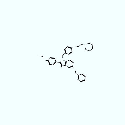 CCOc1ccc(-c2c(C)c3cc(OCc4ccccc4)ccc3n2Cc2ccc(OCCN3CCCCC3)cc2)cc1